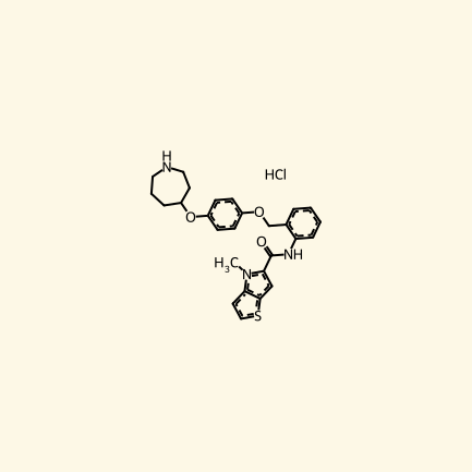 Cl.Cn1c(C(=O)Nc2ccccc2COc2ccc(OC3CCCNCC3)cc2)cc2sccc21